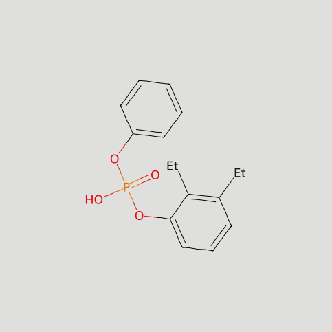 CCc1cccc(OP(=O)(O)Oc2ccccc2)c1CC